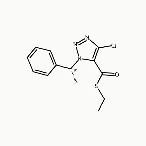 CCSC(=O)c1c(Cl)nnn1[C@H](C)c1ccccc1